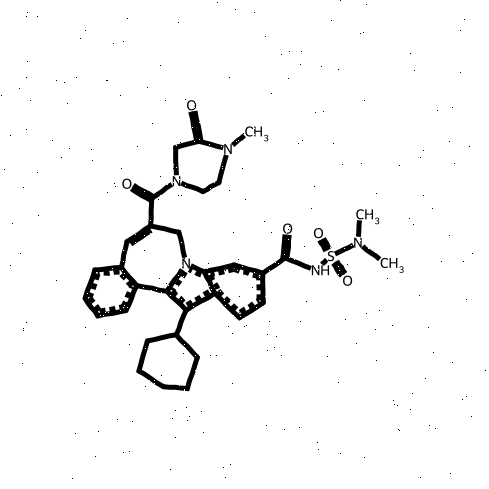 CN1CCN(C(=O)C2=Cc3ccccc3-c3c(C4CCCCC4)c4ccc(C(=O)NS(=O)(=O)N(C)C)cc4n3C2)CC1=O